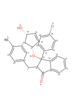 N#Cc1ccc(CC2C(=O)c3ccccc3C2(O[C@H]2C=C[C@@H](O)C2)c2ccc(Cl)cc2)cc1